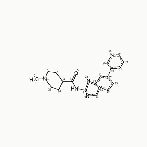 CN1CCC(C(=O)Nc2ncc3ccc(-c4cccnc4)cc3n2)CC1